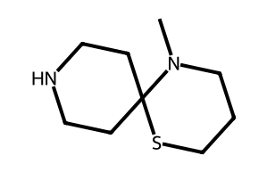 CN1CCCSC12CCNCC2